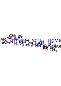 COO/C=N\[C@H](C(=O)N[C@H](c1ncc(-c2ccc(-c3ccc(-c4cnc([C@@H](NC(=O)[C@@H](NC(=O)OC)C(C)OC)C(C)C)[nH]4)cc3)cc2)[nH]1)C(C)C)[C@@H](C)OC